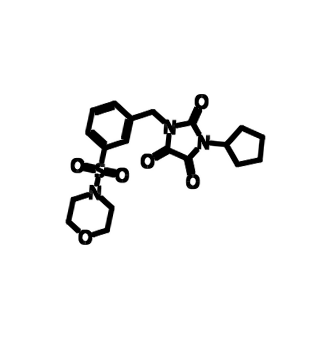 O=C1C(=O)N(C2CCCC2)C(=O)N1Cc1cccc(S(=O)(=O)N2CCOCC2)c1